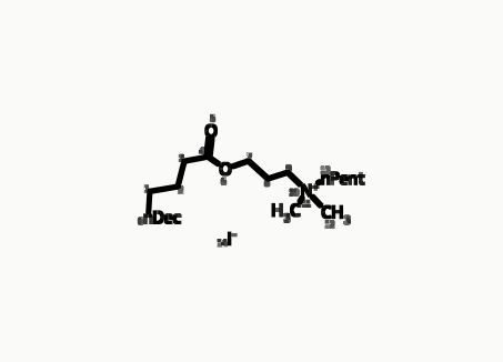 CCCCCCCCCCCCCC(=O)OCCC[N+](C)(C)CCCCC.[I-]